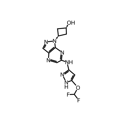 O[C@H]1C[C@@H](n2ncc3ncc(Nc4cc(OC(F)F)[nH]n4)nc32)C1